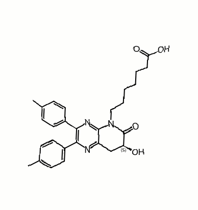 Cc1ccc(-c2nc3c(nc2-c2ccc(C)cc2)N(CCCCCCC(=O)O)C(=O)[C@@H](O)C3)cc1